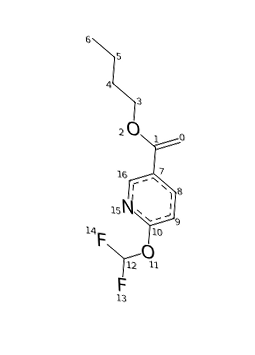 C=C(OCCCC)c1ccc(OC(F)F)nc1